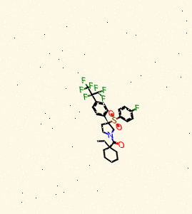 CCC1(C(=O)N2CC[C@](c3ccc(C(F)(C(F)(F)F)C(F)(F)F)cc3)(S(=O)(=O)c3ccc(F)cc3)C2)CCCCC1